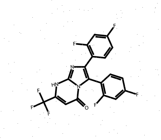 O=c1cc(C(F)(F)F)[nH]c2nc(-c3ccc(F)cc3F)c(-c3ccc(F)cc3F)n12